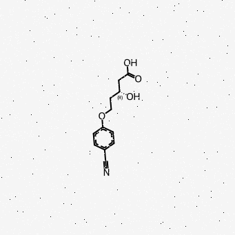 N#Cc1ccc(OCC[C@@H](O)CC(=O)O)cc1